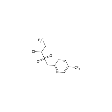 O=S(=O)(Cc1ccc(C(F)(F)F)cn1)C(Cl)CC(F)(F)F